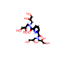 O=C(c1cccc(C(=O)N(CC(O)CO)CC(O)CO)n1)N(CC(O)CO)CC(O)CO